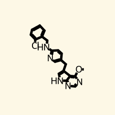 COc1ncnc2[nH]cc(Cc3ccc(NCc4ccccc4Cl)nc3)c12